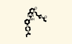 C=CC(=O)N1CC(CCn2c(=O)ccc3cnc(Nc4cccc(N5CCN(C(=C)CC)CC5)c4)nc32)C1